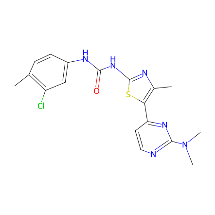 Cc1ccc(NC(=O)Nc2nc(C)c(-c3ccnc(N(C)C)n3)s2)cc1Cl